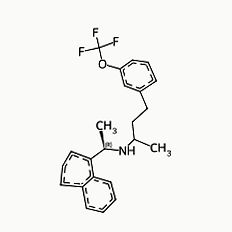 CC(CCc1cccc(OC(F)(F)F)c1)N[C@H](C)c1cccc2ccccc12